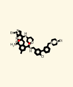 CCc1nc2c(cnn2CC)c(NC2CCOCC2)c1Cc1c(C(N)=O)cc(C)cc1C(=O)NCc1ccc(Cl)c(-c2cccc(CN3CCN(CC)CC3)c2)c1